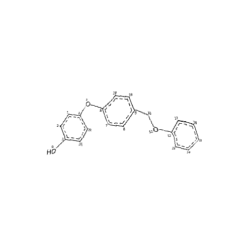 Oc1ccc(Oc2ccc(COc3ccccc3)cc2)cc1